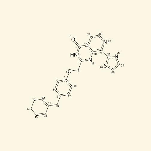 O=c1[nH]c(COc2ccc(CC3=CCCC=C3)cc2)nc2c(-c3nccs3)nccc12